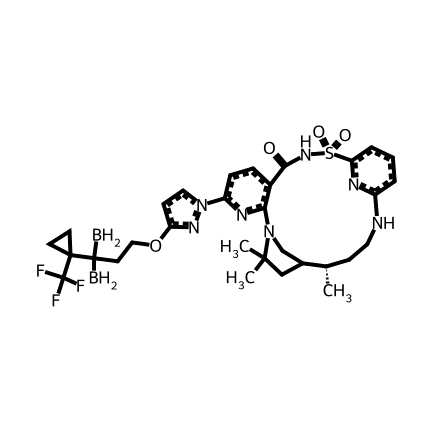 BC(B)(CCOc1ccn(-c2ccc3c(n2)N2CC(CC2(C)C)[C@@H](C)CCNc2cccc(n2)S(=O)(=O)NC3=O)n1)C1(C(F)(F)F)CC1